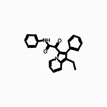 CCc1c(-c2ccccc2)c(C(=O)C(=O)Nc2ccccc2)n2ccccc12